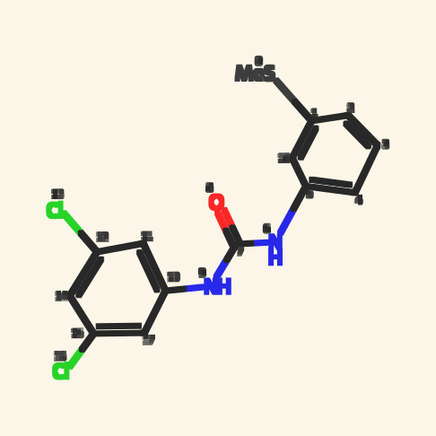 CSc1cccc(NC(=O)Nc2cc(Cl)cc(Cl)c2)c1